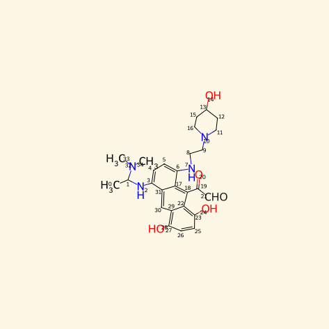 CC(Nc1ccc(NCCN2CCC(O)CC2)c2c(C(=O)C=O)c3c(O)ccc(O)c3cc12)N(C)C